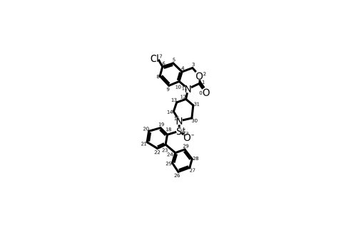 O=C1OCc2cc(Cl)ccc2N1C1CCN([S+]([O-])c2ccccc2-c2ccccc2)CC1